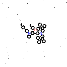 C=CC1=CCC(OC2CC=C(C3(C4CC=CCC4)C4=C(CCCC4)C4CCC(N(C5=CC=C(C6C=CC7C(C6)C6=CCCC=C6N7C6CCC(C7CC=C(C=C)CC7)CC6)CC5)C5CCC6=C(C5)C(C5C=CC=CC5)(C5CCCCC5)C5=C6CCCC5)CC43)CC2)CC1